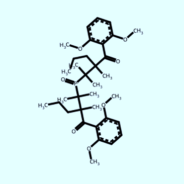 CCCC(C)(C(=O)c1c(OC)cccc1OC)C(C)(C)[P](=O)C(C)(C)C(C)(CCC)C(=O)c1c(OC)cccc1OC